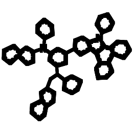 c1ccc(C(Cc2ccc3ccccc3c2)c2cc(-c3ccc4c(c3)c3c5ccccc5c5ccccc5c3n4-c3ccccc3)cc(N(c3ccccc3)c3ccc4ccccc4c3)c2)cc1